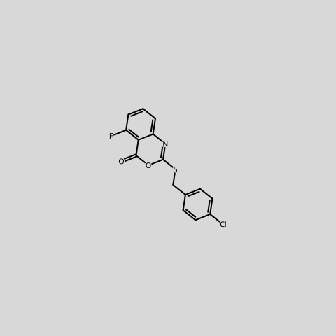 O=c1oc(SCc2ccc(Cl)cc2)nc2cccc(F)c12